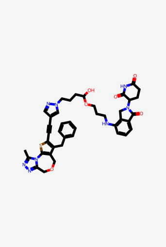 Cc1nnc2n1-c1sc(C#Cc3cnn(CCCC(O)OCCCNc4cccc5c4CN(C4CCC(=O)NC4=O)C5=O)c3)c(Cc3ccccc3)c1COC2